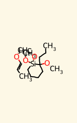 CC=COC.CCCC1(OC)CCCC[Si]1(OC)OC